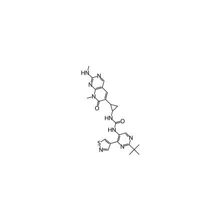 CNc1ncc2cc(C3CC3NC(=O)Nc3cnc(C(C)(C)C)nc3-c3cnsc3)c(=O)n(C)c2n1